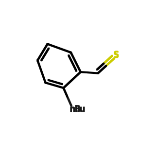 CCCCc1ccccc1C=S